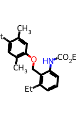 CCOC(=O)Nc1cccc(CC)c1COc1cc(C)c(CC)cc1C